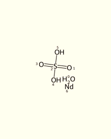 O.O=S(=O)(O)O.[Nd]